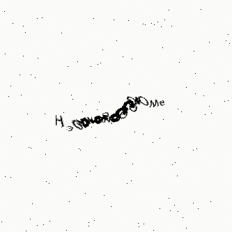 COCCOC(=O)CC1COc2ccc(NC(=O)c3ccc(/C=N/N4CCN(C)CC4)cc3)cc2C1